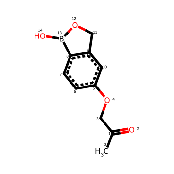 CC(=O)COc1ccc2c(c1)COB2O